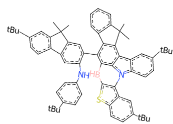 CC(C)(C)c1ccc(Nc2cc3c(cc2-c2c4c(c5c6cc(C(C)(C)C)ccc6n6c5c2Bc2sc5ccc(C(C)(C)C)cc5c2-6)C(C)(C)c2ccccc2-4)C(C)(C)c2cc(C(C)(C)C)ccc2-3)cc1